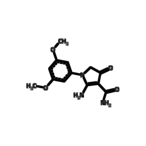 COc1cc(OC)cc(N2CC(=O)C(C(N)=O)=C2N)c1